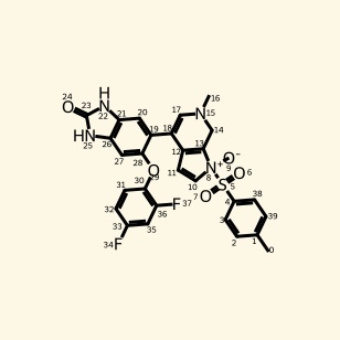 Cc1ccc(S(=O)(=O)[N+]2([O-])C=CC3=C2CN(C)C=C3c2cc3[nH]c(=O)[nH]c3cc2Oc2ccc(F)cc2F)cc1